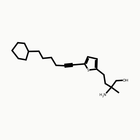 CC(N)(CO)CCc1ccc(C#CCCCCC2CCCCC2)s1